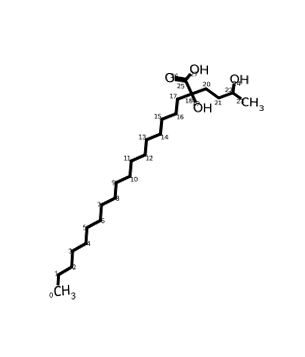 CCCCCCCCCCCCCCCCCCC(O)(CCC(C)O)C(=O)O